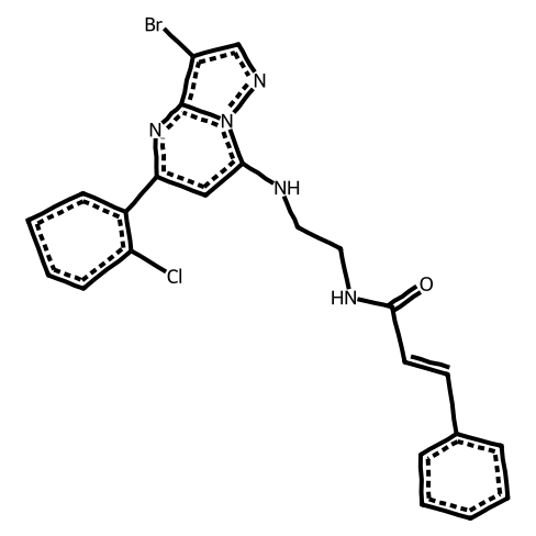 O=C(/C=C/c1ccccc1)NCCNc1cc(-c2ccccc2Cl)nc2c(Br)cnn12